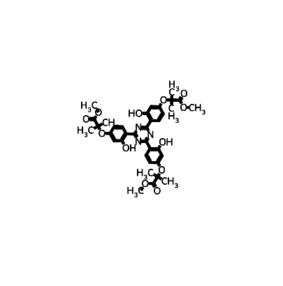 COC(=O)C(C)(C)Oc1ccc(-c2nc(-c3ccc(OC(C)(C)C(=O)OC)cc3O)nc(-c3ccc(OC(C)(C)C(=O)OC)cc3O)n2)c(O)c1